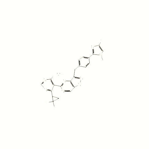 COc1ncnc(C2CC2(F)F)c1-c1ncc2[nH]nc(Cc3ccc(-c4nc(C(F)(F)F)cn4C)cc3)c2n1